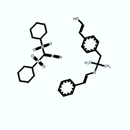 CC(C)(Cc1ccc(C=CO)cc1)OC=Cc1ccccc1.[N-]=[N+]=C(S(=O)(=O)C1CCCCC1)S(=O)(=O)C1CCCCC1